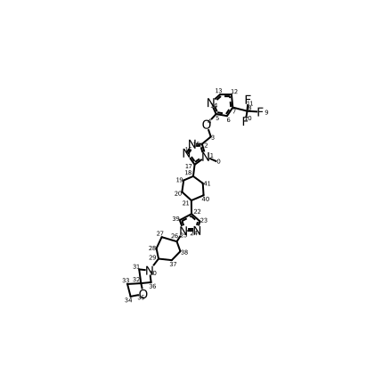 Cn1c(COc2cc(C(F)(F)F)ccn2)nnc1C1CCC(c2cnn(C3CCC(N4CC5(CCO5)C4)CC3)c2)CC1